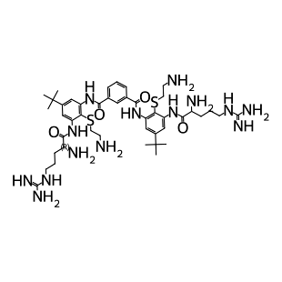 CC(C)(C)c1cc(NC(=O)c2cccc(C(=O)Nc3cc(C(C)(C)C)cc(NC(=O)[C@H](N)CCCNC(=N)N)c3SCCN)c2)c(SCCN)c(NC(=O)C(N)CCCNC(=N)N)c1